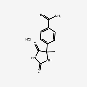 CC1(c2ccc(C(=N)N)cc2)NC(=O)NC1=O.Cl